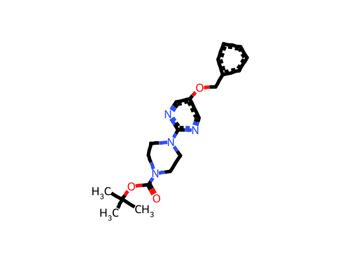 CC(C)(C)OC(=O)N1CCN(c2ncc(OCc3ccccc3)cn2)CC1